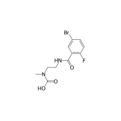 CN(CCNC(=O)c1cc(Br)ccc1F)C(=O)O